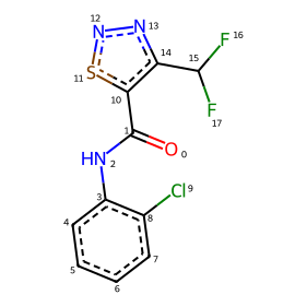 O=C(Nc1ccccc1Cl)c1snnc1C(F)F